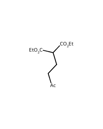 CCOC(=O)C(CCC(C)=O)C(=O)OCC